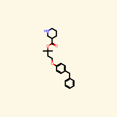 CC(C)(CCOc1ccc(Cc2ccccc2)cc1)OC(=O)C1CCCNC1